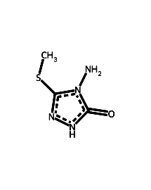 CSc1n[nH]c(=O)n1N